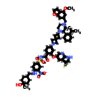 COc1cc(CN2CCN(C3CC4(C3)CN(c3ccc(C(=O)NS(=O)(=O)c5ccc(NCC6CCC(C)(O)CC6)c([N+](=O)[O-])c5)c(Oc5cnc6[nH]cc(F)c6c5)c3)C4)[C@H](c3ccccc3C(C)C)C2)cc2occc12